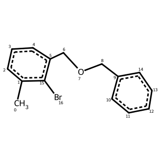 Cc1cccc(COCc2ccccc2)c1Br